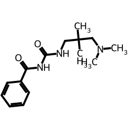 CN(C)CC(C)(C)CNC(=O)NC(=O)c1ccccc1